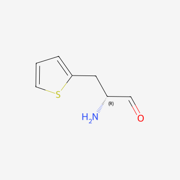 N[C@@H](C=O)Cc1cccs1